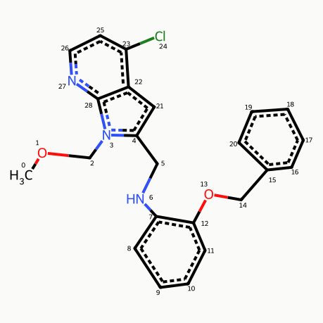 COCn1c(CNc2ccccc2OCc2ccccc2)cc2c(Cl)ccnc21